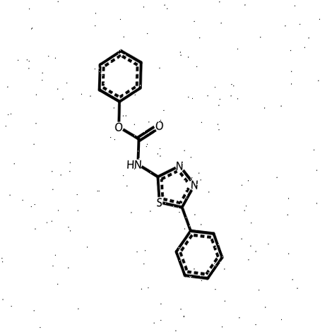 O=C(Nc1nnc(-c2ccccc2)s1)Oc1ccccc1